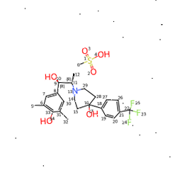 CS(=O)(=O)O.Cc1cc([C@@H](O)[C@@H](C)N2CCC(O)(c3ccc(C(F)(F)F)cc3)CC2)cc(C)c1O